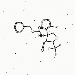 O=C[C@@H]1C(C(F)(F)F)OC[C@@]1(NC(=O)OCc1ccccc1)c1ccccc1F